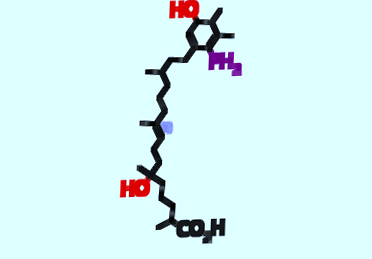 CC1=C(P)C(CCC(C)CCC/C(C)=C/CCC(C)(O)CCCC(C)C(=O)O)=CC(O)C1C